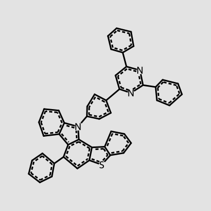 c1ccc(-c2cc(-c3ccc(-n4c5ccccc5c5c(-c6ccccc6)cc6sc7ccccc7c6c54)cc3)nc(-c3ccccc3)n2)cc1